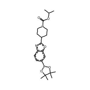 CC(C)OC(=O)N1CCC(c2nc3ccc(B4OC(C)(C)C(C)(C)O4)cc3o2)CC1